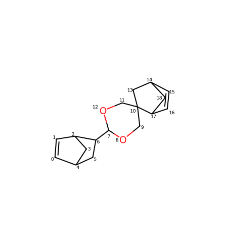 C1=CC2CC1CC2C1OCC2(CO1)CC1C=CC2C1